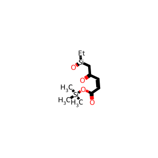 CC[Si](=O)CC(=O)/C=C\C(=O)O[Si](C)(C)C